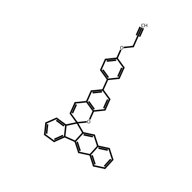 C#CCOc1ccc(-c2ccc3c(c2)C=CC2(O3)c3ccccc3-c3cc4ccccc4cc32)cc1